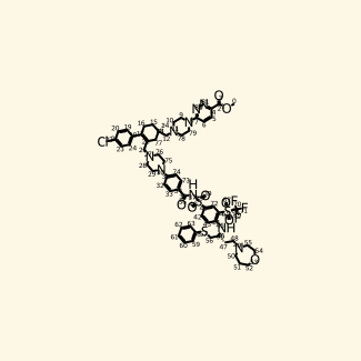 COC(=O)c1ccc(N2CCN(C[C@]3(C)CCC(c4ccc(Cl)cc4)=C(CN4CCN(c5ccc(C(=O)NS(=O)(=O)c6ccc(N[C@H](CCN7CCCOCC7)CSc7ccccc7)c(S(=O)(=O)C(F)(F)F)c6)cc5)CC4)C3)CC2)nn1